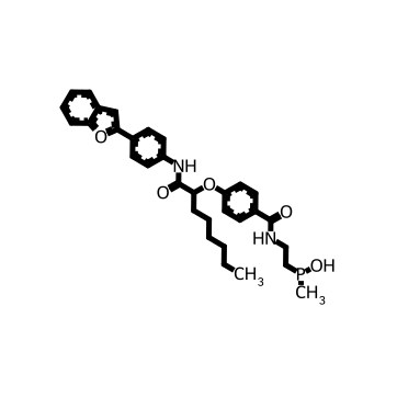 CCCCCCC(Oc1ccc(C(=O)NCCP(C)O)cc1)C(=O)Nc1ccc(-c2cc3ccccc3o2)cc1